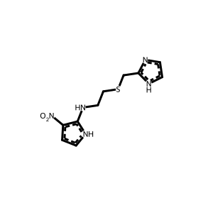 O=[N+]([O-])c1cc[nH]c1NCCSCc1ncc[nH]1